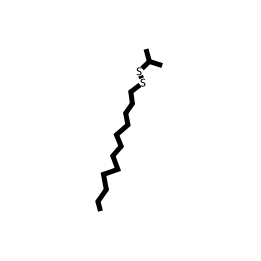 CCCCCCCCCCCCSSC(C)C